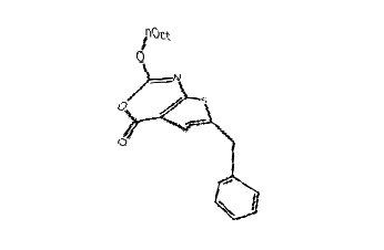 CCCCCCCCOc1nc2sc(Cc3ccccc3)cc2c(=O)o1